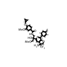 COC[C@](O)(CNC(=O)c1ccc(OC2CC2)c(OC)c1)c1cc2c(c(-c3ccc(F)cc3)n1)OC[C@@]2(N)C(F)(F)F